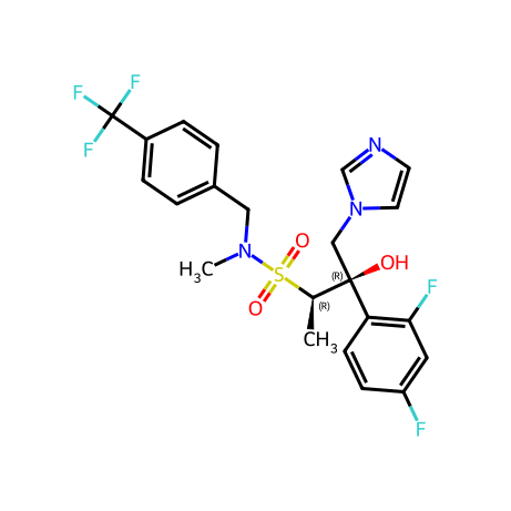 C[C@H]([C@](O)(Cn1ccnc1)c1ccc(F)cc1F)S(=O)(=O)N(C)Cc1ccc(C(F)(F)F)cc1